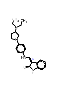 CCN(CC)C1CCN(c2ccc(N/C=C3\C(=O)Nc4ccccc43)cc2)C1